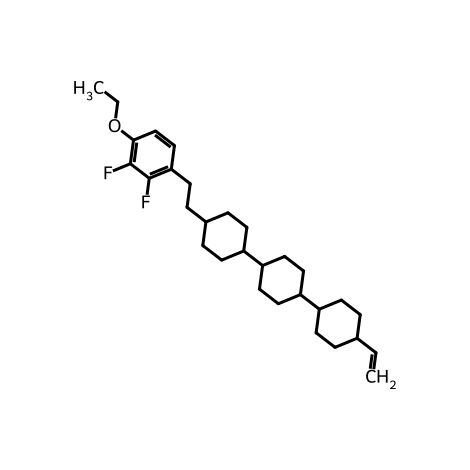 C=CC1CCC(C2CCC(C3CCC(CCc4ccc(OCC)c(F)c4F)CC3)CC2)CC1